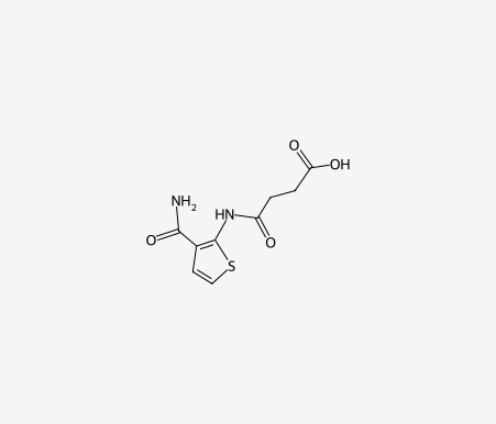 NC(=O)c1ccsc1NC(=O)CCC(=O)O